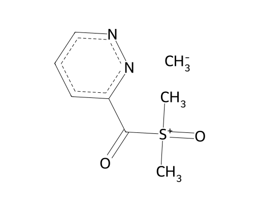 C[S+](C)(=O)C(=O)c1cccnn1.[CH3-]